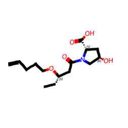 C=CCCCO[C@@H](CC)CC(=O)N1C[C@H](O)C[C@H]1C(=O)O